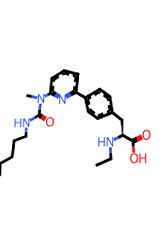 CCCCCNC(=O)N(C)c1cccc(-c2ccc(C[C@H](NCC)C(=O)O)cc2)n1